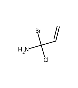 C=CC(N)(Cl)Br